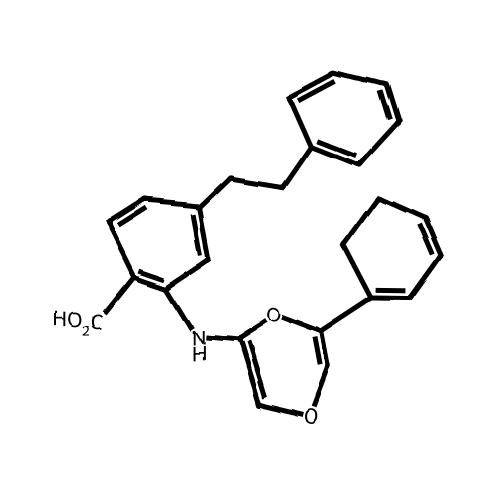 O=C(O)c1ccc(CCc2ccccc2)cc1NC1=COC=C(C2=CC=CCC2)O1